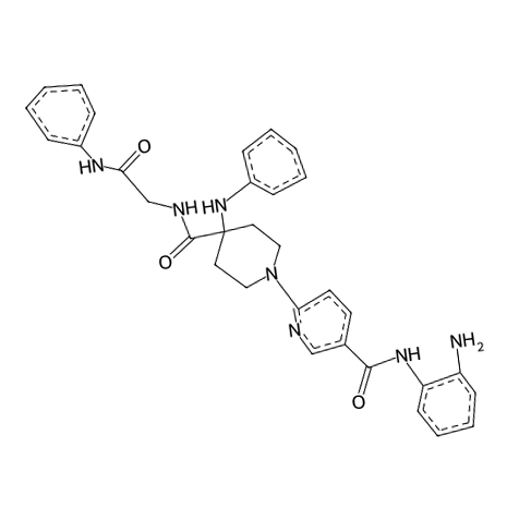 Nc1ccccc1NC(=O)c1ccc(N2CCC(Nc3ccccc3)(C(=O)NCC(=O)Nc3ccccc3)CC2)nc1